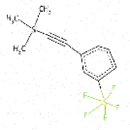 C[Si](C)(C)C#Cc1cccc(S(F)(F)(F)(F)F)c1